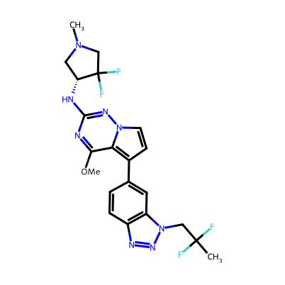 COc1nc(N[C@@H]2CN(C)CC2(F)F)nn2ccc(-c3ccc4nnn(CC(C)(F)F)c4c3)c12